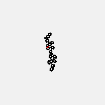 c1ccc(-c2c(-c3ccc4c5ccc(-c6c7ccccc7c(-c7ccc8ccccc8c7)c7ccccc67)c6c7ccccc7n(c4c3)c56)cccc2-c2c3ccccc3c(-c3ccc4oc5cc6ccccc6cc5c4c3)c3ccccc23)cc1